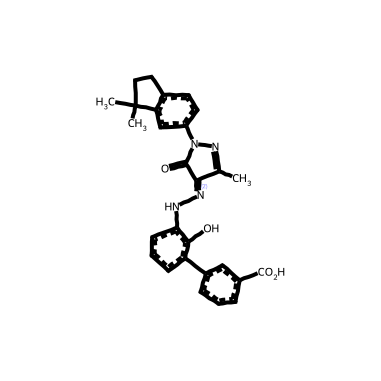 CC1=NN(c2ccc3c(c2)C(C)(C)CC3)C(=O)/C1=N\Nc1cccc(-c2cccc(C(=O)O)c2)c1O